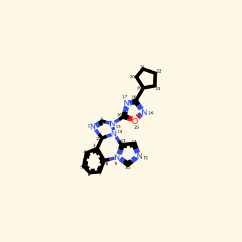 C1=NC2c3ccccc3-n3cncc3N2N1c1nc(C2CCCC2)no1